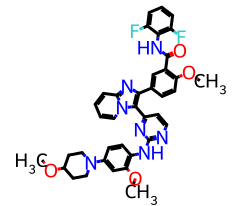 COc1cc(N2CCC(OC)CC2)ccc1Nc1nccc(-c2c(-c3ccc(OC)c(C(=O)Nc4c(F)cccc4F)c3)nc3ccccn23)n1